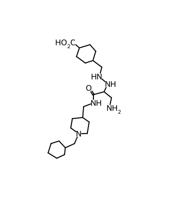 NCC(NNCC1CCC(C(=O)O)CC1)C(=O)NCC1CCN(CC2CCCCC2)CC1